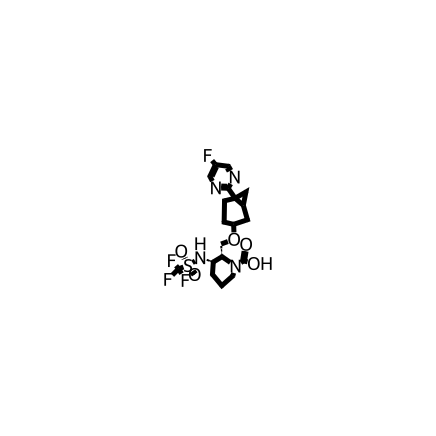 O=C(O)N1CCC[C@H](NS(=O)(=O)C(F)(F)F)[C@@H]1COC1CCC2(c3ncc(F)cn3)CC2C1